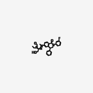 CCN(C=O)/C(CO)=N\N(C)c1ccc2c(c1)C(c1ccccc1)CN(c1cccc(F)c1)C2=O